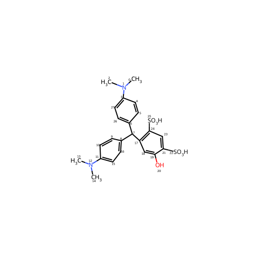 CN(C)c1ccc(C(c2ccc(N(C)C)cc2)c2cc(O)c(S(=O)(=O)O)cc2S(=O)(=O)O)cc1